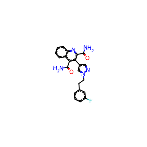 NC(=O)c1nc2ccccc2c(C(N)=O)c1-c1cnn(CCc2cccc(F)c2)c1